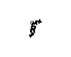 CC(C)CN1CCC2(CC1)CCN(C(=O)C1CN(C(C)C)C1)CC2